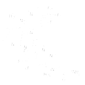 CN(CC(N)=O)c1cc(C(F)(F)F)c(-c2cnc3c(N(C)c4ccc(C(F)(F)F)cn4)ccnc3n2)nn1